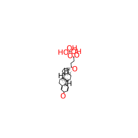 C[C@]12CC[C@H]3[C@@H](CCC4=CC(=O)C=C[C@@]43C)[C@@H]1CC[C@@H]2C(=O)CCC(=O)OC(O)(O)O